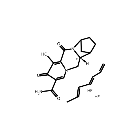 C=CC=CC=CC.F.F.NC(=O)c1cn2c(c(O)c1=O)C(=O)N1C3CCC(C3)[C@@H]1C2